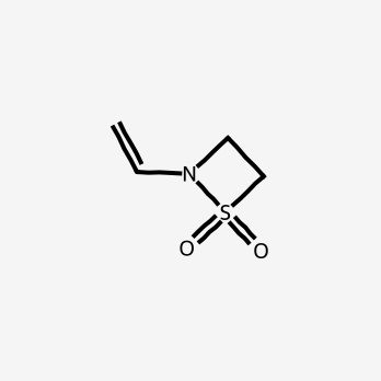 C=CN1CCS1(=O)=O